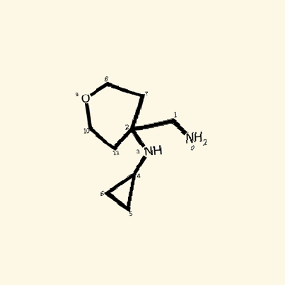 NCC1(NC2CC2)CCOCC1